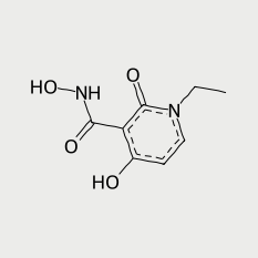 CCn1ccc(O)c(C(=O)NO)c1=O